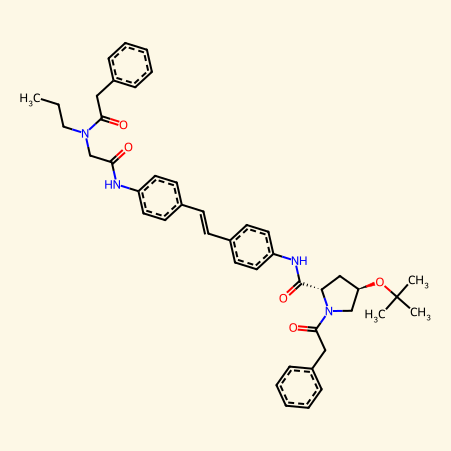 CCCN(CC(=O)Nc1ccc(/C=C/c2ccc(NC(=O)[C@@H]3C[C@@H](OC(C)(C)C)CN3C(=O)Cc3ccccc3)cc2)cc1)C(=O)Cc1ccccc1